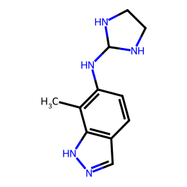 Cc1c(NC2NCCN2)ccc2cn[nH]c12